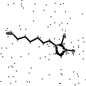 CCCCCCCCCCCCCCCC[n+]1ccn(C(C)C)c1CC